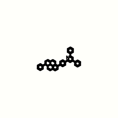 C1=Cc2c(-c3ccc(-c4cc(-c5ccccc5)cc(-c5ccccc5)n4)cc3)ccc3c2C2C1=CC=C(c1ccccc1)C2C=C3